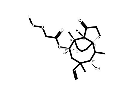 C=CC1(C)C[C@@H](OC(=O)COSI)[C@]2(C)[C@@H]3C(=O)CC[C@@]3(CC[C@@H]2C)C(C)[C@@H]1O